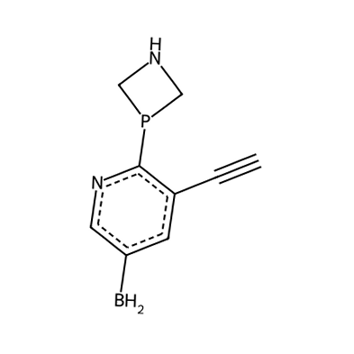 Bc1cnc(P2CNC2)c(C#C)c1